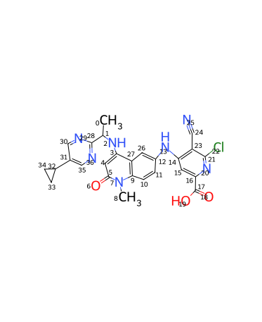 CC(Nc1cc(=O)n(C)c2ccc(Nc3cc(C(=O)O)nc(Cl)c3C#N)cc12)c1ncc(C2CC2)cn1